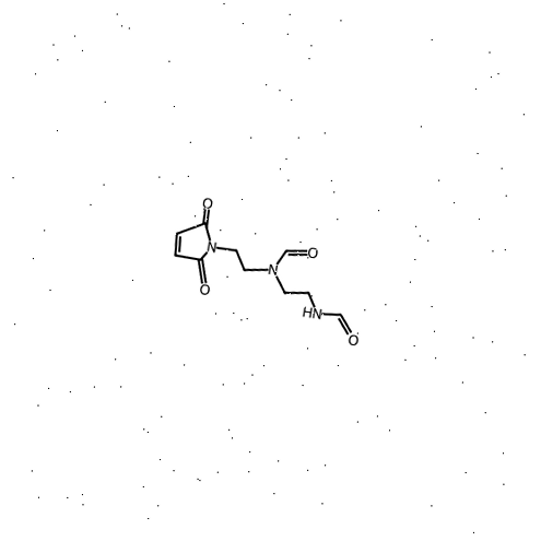 O=CNCCN(C=O)CCN1C(=O)C=CC1=O